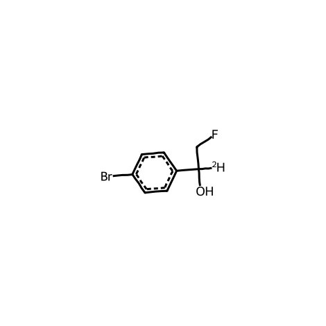 [2H]C(O)(CF)c1ccc(Br)cc1